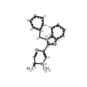 C=C1C=NC(c2nc3ccccc3n2Cc2ccccc2)=CN1C